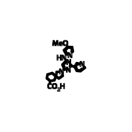 COc1ccnc(Nc2cc(N3CCC4(CCCC(C(=O)O)C4)C3)nc(-c3cccnc3)n2)c1